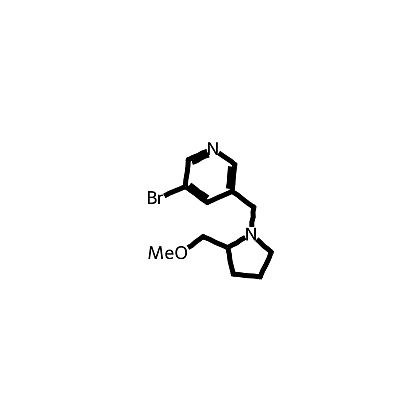 COCC1CCCN1Cc1cncc(Br)c1